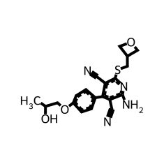 CC(O)COc1ccc(-c2c(C#N)c(N)nc(SCC3COC3)c2C#N)cc1